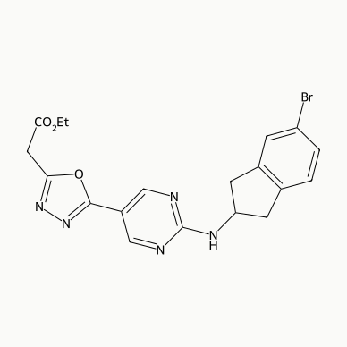 CCOC(=O)Cc1nnc(-c2cnc(NC3Cc4ccc(Br)cc4C3)nc2)o1